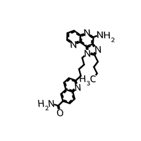 CCCCc1nc2c(N)nc3cccnc3c2n1CCCCc1ccc2cc(C(N)=O)ccc2n1